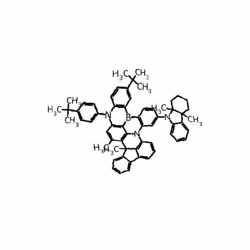 Cc1cc2c3c4c1C1(C)c5ccccc5-c5cccc(c51)N4c1cc(N4c5ccccc5C5(C)CCCCC45C)ccc1B3c1cc(C(C)(C)C)ccc1N2c1ccc(C(C)(C)C)cc1